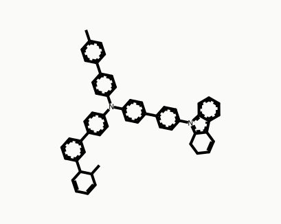 Cc1ccc(-c2ccc(N(c3ccc(-c4ccc(-n5c6c(c7ccccc75)C=CCC6)cc4)cc3)c3ccc(-c4cccc(C5C=CC=CC5C)c4)cc3)cc2)cc1